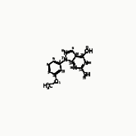 COc1cccc(-n2ncc3c(O)nc(S)nc32)c1